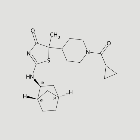 CC1(C2CCN(C(=O)C3CC3)CC2)SC(N[C@H]2C[C@H]3CC[C@H]2C3)=NC1=O